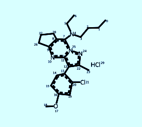 CCCCN(CC)c1c2c(nc3c(-c4ccc(OC)cc4Cl)c(C)nn13)CCC2.Cl